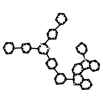 c1ccc(-c2ccc(-c3cc(-c4ccc(-c5cccc(-c6nc7ccccc7c7c6ccc6c7c7ccccc7n6-c6ccccc6)c5)cc4)nc(-c4ccc(-c5ccccc5)cc4)n3)cc2)cc1